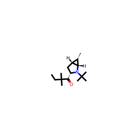 CCC(C)(C)C(=O)[C@@H]1C[C@@H]2[C@H](C)[C@@H]2N1C(C)(C)C